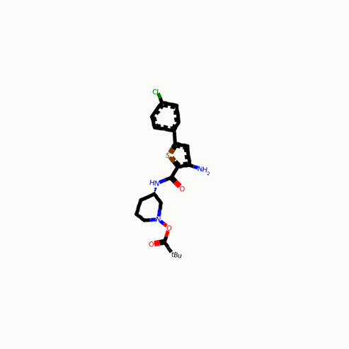 CC(C)(C)C(=O)ON1CCC[C@H](NC(=O)c2sc(-c3ccc(Cl)cc3)cc2N)C1